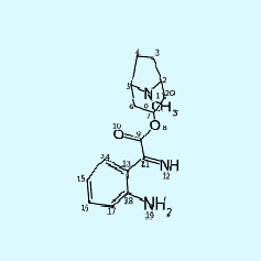 CN1C2CCC1CC(OC(=O)C(=N)c1ccccc1N)C2